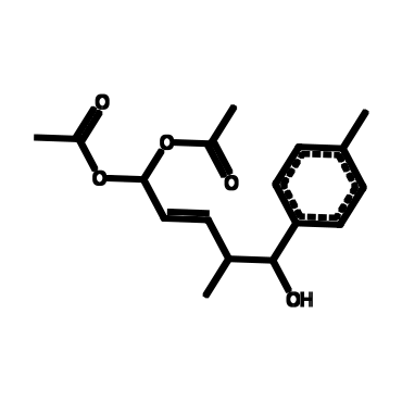 CC(=O)OC(C=CC(C)C(O)c1ccc(C)cc1)OC(C)=O